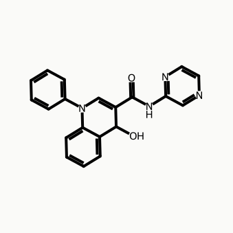 O=C(Nc1cnccn1)C1=CN(c2ccccc2)c2ccccc2C1O